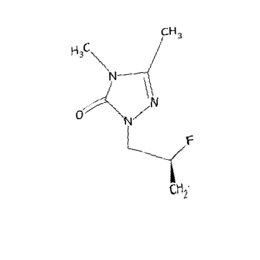 [CH2][C@H](F)Cn1nc(C)n(C)c1=O